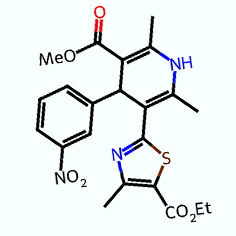 CCOC(=O)c1sc(C2=C(C)NC(C)=C(C(=O)OC)C2c2cccc([N+](=O)[O-])c2)nc1C